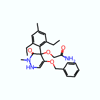 CCc1cc(C)cc(CC)c1C1(OCC(N)=O)C(=O)N(C)NC=C1OCc1ccccc1